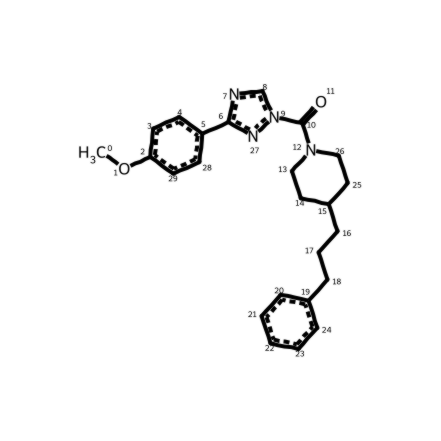 COc1ccc(-c2ncn(C(=O)N3CCC(CCCc4ccccc4)CC3)n2)cc1